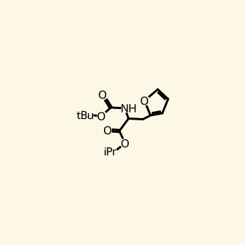 CC(C)OC(=O)C(Cc1ccco1)NC(=O)OC(C)(C)C